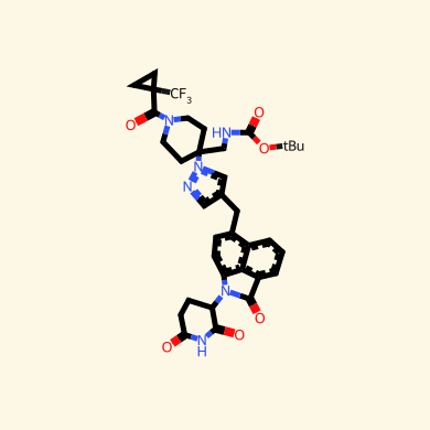 CC(C)(C)OC(=O)NCC1(n2cc(Cc3ccc4c5c(cccc35)C(=O)N4C3CCC(=O)NC3=O)cn2)CCN(C(=O)C2(C(F)(F)F)CC2)CC1